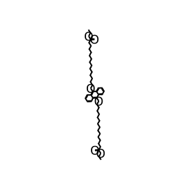 CCOC(=O)CCCCCCCCCCCCCCOc1c2ccccc2c(OCCCCCCCCCCCCCCC(=O)OCC)c2ccccc12